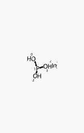 OP(O)O.[In]